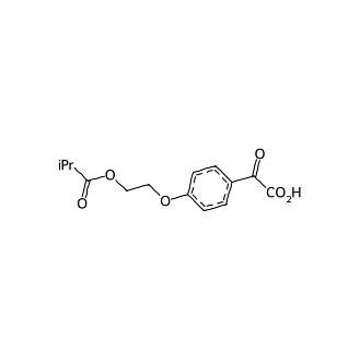 CC(C)C(=O)OCCOc1ccc(C(=O)C(=O)O)cc1